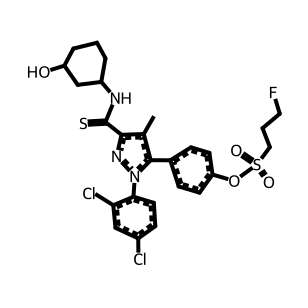 Cc1c(C(=S)NC2CCCC(O)C2)nn(-c2ccc(Cl)cc2Cl)c1-c1ccc(OS(=O)(=O)CCCF)cc1